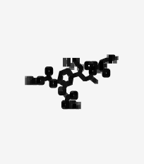 CC(C)COC(=O)Oc1ccc(C(CC(C)OC(=O)CC(C)C)[C@H](N)C(=O)O)cc1OC(=O)OCC(C)C